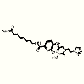 COC(=O)CCCCCCCNC(=O)c1ccc(NC(=O)CN(CCn2ccnn2)C(=O)OC(C)(C)C)c(Cl)n1